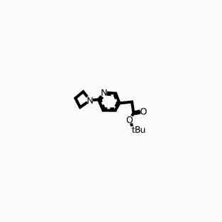 CC(C)(C)OC(=O)Cc1ccc(N2CCC2)nc1